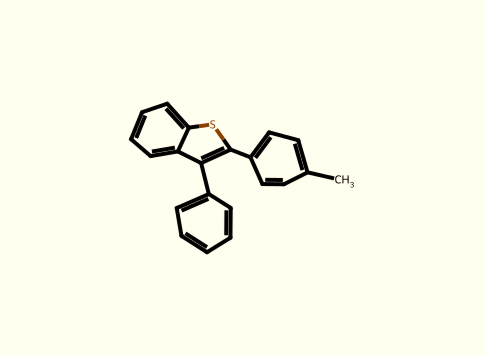 Cc1ccc(-c2sc3ccccc3c2-c2ccccc2)cc1